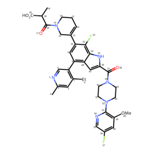 CCc1cc(C)ncc1-c1cc(C2=CCCN(C(=O)C(C)C(=O)O)C2)c(F)c2[nH]c(C(=O)N3CCN(c4ncc(F)cc4OC)CC3)cc12